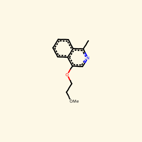 COCCOc1cnc(C)c2ccccc12